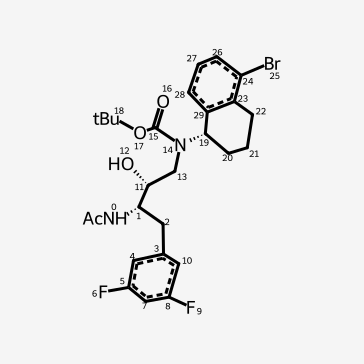 CC(=O)N[C@@H](Cc1cc(F)cc(F)c1)[C@H](O)CN(C(=O)OC(C)(C)C)[C@H]1CCCc2c(Br)cccc21